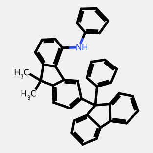 CC1(C)c2ccc(C3(c4ccccc4)c4ccccc4-c4ccccc43)cc2-c2c(Nc3ccccc3)cccc21